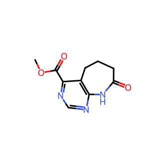 COC(=O)c1ncnc2c1CCCC(=O)N2